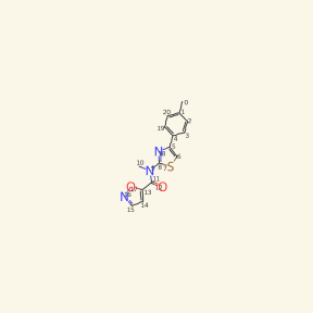 Cc1ccc(-c2csc(N(C)C(=O)c3ccno3)n2)cc1